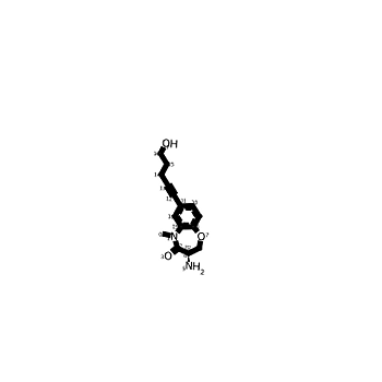 CN1C(=O)[C@@H](N)COc2ccc(C#CCCCO)cc21